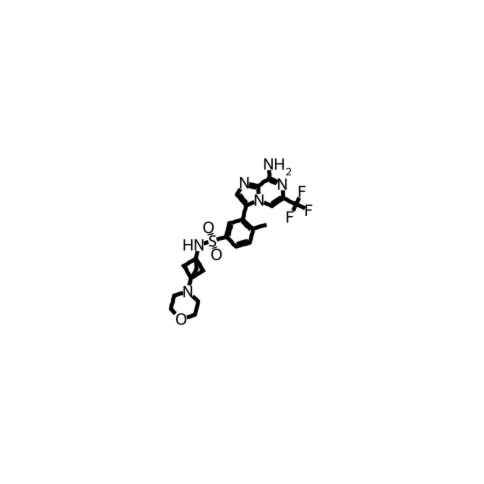 Cc1ccc(S(=O)(=O)NC23CC(N4CCOCC4)(C2)C3)cc1-c1cnc2c(N)nc(C(F)(F)F)cn12